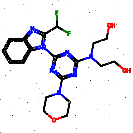 OCCN(CCO)c1nc(N2CCOCC2)nc(-n2c(C(F)F)nc3ccccc32)n1